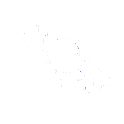 CCn1c(-c2cccnc2[C@H](C)OC)c2c3cc(ccc31)-c1cc(O)cc(c1)C[C@H](NC(=O)[C@H](C(C)C)N(C)C(=O)[C@@H]1COC[C@@H]1N)C(=O)N1CCC[C@H](N1)C(=O)OCC(C)(C)C2